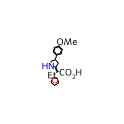 C1CC2CC1O2.CCC(C(=O)O)=C1CC(c2ccc(OC)cc2)CN1